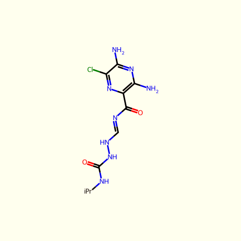 CC(C)NC(=O)NNC=NC(=O)c1nc(Cl)c(N)nc1N